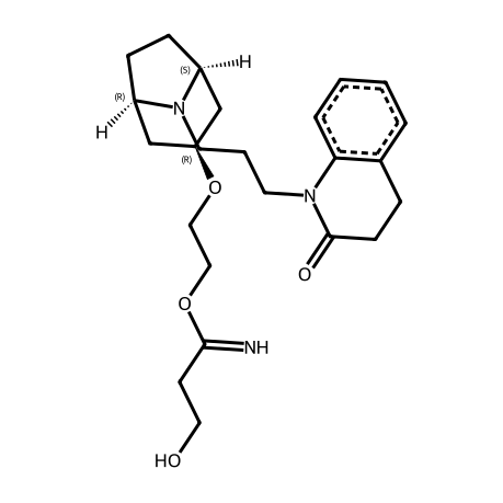 N=C(CCO)OCCO[C@H]1C[C@H]2CC[C@@H](C1)N2CCCN1C(=O)CCc2ccccc21